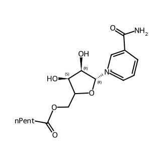 CCCCCC(=O)OCC1O[C@@H]([n+]2cccc(C(N)=O)c2)[C@H](O)[C@@H]1O